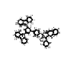 c1ccc2cc3c(cc2c1)nc(-c1ccc(-c2cc(-n4c5ccccc5c5ccccc54)cc(-n4c5ccccc5c5ccccc54)c2)cc1)c1oc2ccccc2c13